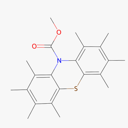 COC(=O)N1c2c(C)c(C)c(C)c(C)c2Sc2c(C)c(C)c(C)c(C)c21